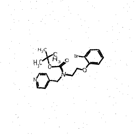 CC(C)(C)OC(=O)N(CCOc1ccccc1Br)Cc1ccncc1